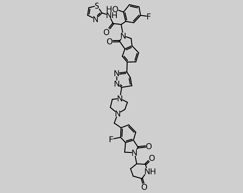 O=C1CCC(N2Cc3c(ccc(CN4CCN(c5ccc(-c6ccc7c(c6)C(=O)N(C(C(=O)Nc6nccs6)c6cc(F)ccc6O)C7)nn5)CC4)c3F)C2=O)C(=O)N1